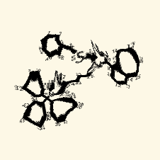 c1ccc(CSc2nnc(-c3cccc4ccccc34)n2CCCc2cn(C(c3ccccc3)(c3ccccc3)c3ccccc3)cn2)cc1